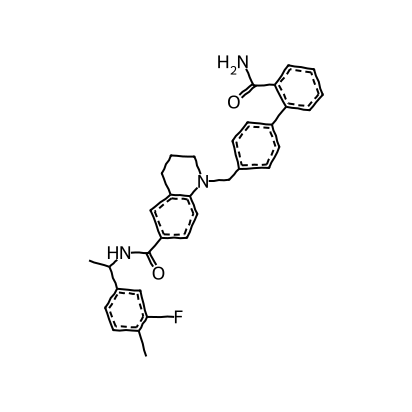 Cc1ccc(C(C)NC(=O)c2ccc3c(c2)CCCN3Cc2ccc(-c3ccccc3C(N)=O)cc2)cc1F